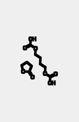 O=C(O)OCCCCOC(=O)O.O=C1CCCO1